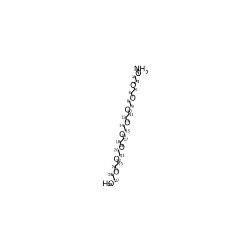 NOCCOCCOCCOCCOCCOCCOCCOCCOCCO